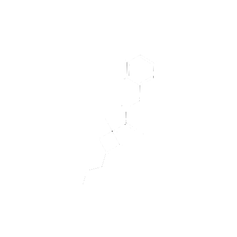 CSCC1CC(C)(C(=O)OCc2ccccc2)C1